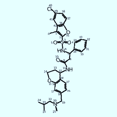 Cc1c(S(=O)(=O)NC(CC(=O)NC2CCOc3cc(CN(C)CC(C)C)ccc32)c2ccccc2)oc2ccc(Cl)cc12